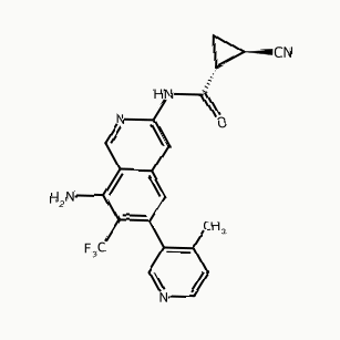 Cc1ccncc1-c1cc2cc(NC(=O)[C@@H]3C[C@H]3C#N)ncc2c(N)c1C(F)(F)F